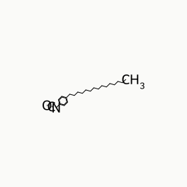 CCCCCCCCCCCCCCCc1ccc(N=C=O)cc1